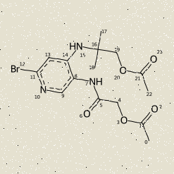 CC(=O)OCC(=O)Nc1cnc(Br)cc1NC(C)(C)COC(C)=O